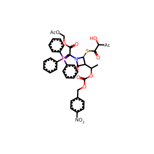 CC(=O)OCOC(=O)C(N1C(=O)C(C(C)OC(=O)OCc2ccc([N+](=O)[O-])cc2)[C@@H]1SC(=O)C(O)C(C)=O)=P(c1ccccc1)(c1ccccc1)c1ccccc1